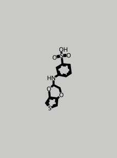 O=S(=O)(O)c1cccc(NC2COc3cscc3O2)c1